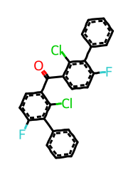 O=C(c1ccc(F)c(-c2ccccc2)c1Cl)c1ccc(F)c(-c2ccccc2)c1Cl